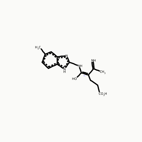 CC(=N)/C(CCC(=O)O)=C(/O)Nc1nc2cc(C)ccc2[nH]1